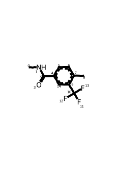 CNC(=O)c1ccc(C)c(C(F)(F)F)c1